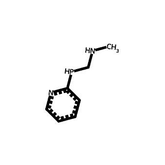 CNCPc1ccccn1